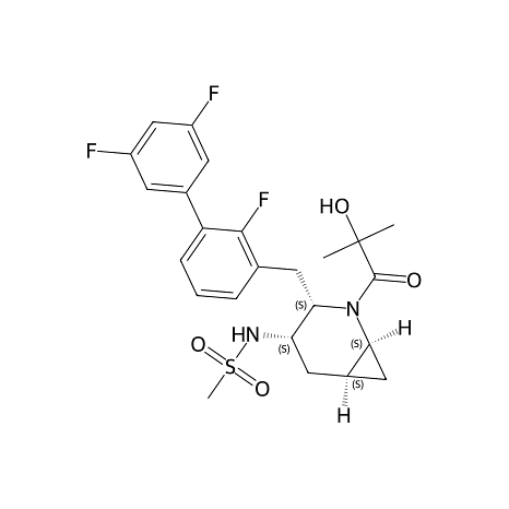 CC(C)(O)C(=O)N1[C@H]2C[C@H]2C[C@H](NS(C)(=O)=O)[C@@H]1Cc1cccc(-c2cc(F)cc(F)c2)c1F